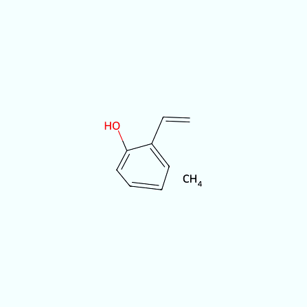 C.C=Cc1ccccc1O